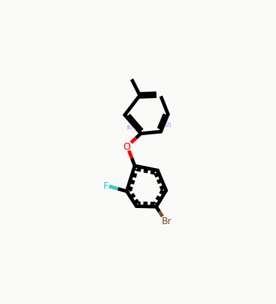 C=C(C)/C=C(\C=C/C)Oc1ccc(Br)cc1F